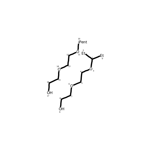 CCC(CC)OCCOCCO.CCCC(C)OCCOCCO